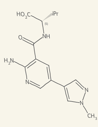 CC(C)[C@H](NC(=O)c1cc(-c2cnn(C)c2)cnc1N)C(=O)O